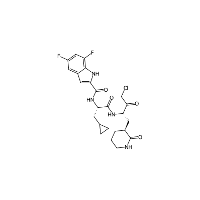 O=C(N[C@@H](CC1CC1)C(=O)N[C@@H](C[C@@H]1CCCNC1=O)C(=O)CCl)c1cc2cc(F)cc(F)c2[nH]1